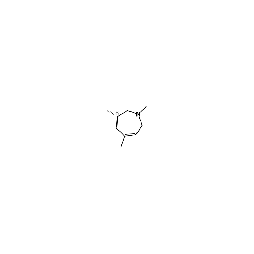 CC1=CCN(C)C[C@@H](C)C1